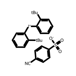 CC(C)(C)c1ccccc1[I+]c1ccccc1C(C)(C)C.N#Cc1ccc(S(=O)(=O)[O-])cc1